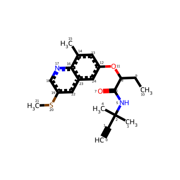 C#CC(C)(C)NC(=O)C(CC)Oc1cc(C)c2ncc(SC)cc2c1